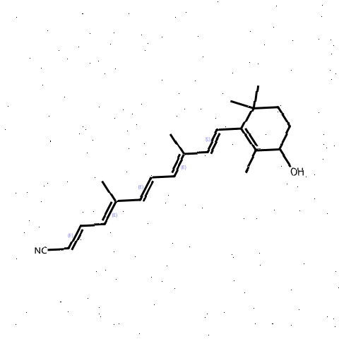 CC1=C(/C=C/C(C)=C/C=C/C(C)=C/C=C/C#N)C(C)(C)CCC1O